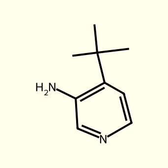 CC(C)(C)c1ccncc1N